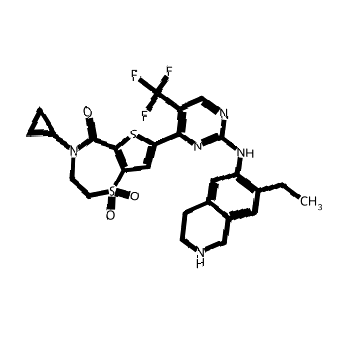 CCc1cc2c(cc1Nc1ncc(C(F)(F)F)c(-c3cc4c(s3)C(=O)N(C3CC3)CCS4(=O)=O)n1)CCNC2